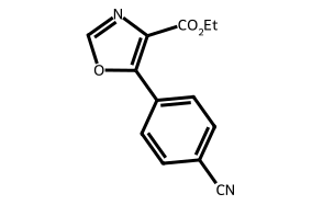 CCOC(=O)c1ncoc1-c1ccc(C#N)cc1